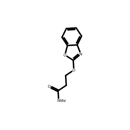 CNC(=O)CCOc1nc2ccccc2o1